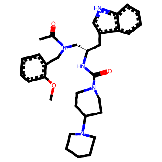 COc1ccccc1CN(C[C@H](Cc1c[nH]c2ccccc12)NC(=O)N1CCC(N2CCCCC2)CC1)C(C)=O